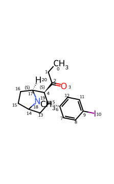 CCC(=O)[C@H]1[C@H](c2ccc(I)cc2)CC2CC[C@@H]1N2C